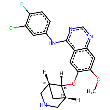 COc1cc2ncnc(Nc3ccc(F)c(Cl)c3)c2cc1O[C@@H]1[C@@H]2CNC[C@H]1C2